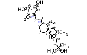 C=C1/C(=C/C=C2\CCC[C@@]3(C)C2CC[C@@H]3[C@H](C)OCCC(C)(C)O)C[C@@H](O)C[C@@H]1O